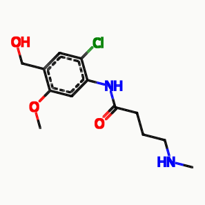 CNCCCC(=O)Nc1cc(OC)c(CO)cc1Cl